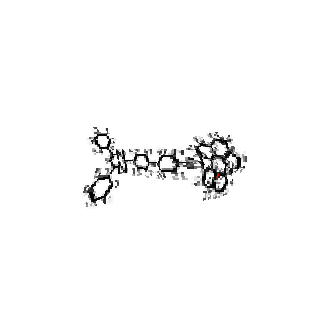 c1ccc(-c2cc(-c3ccccc3)nc(-c3ccc(-c4ccc(-n5c6ccccc6c6c7c(ccc8ccn(-c9ccccc9)c87)ccc65)cc4)cc3)n2)cc1